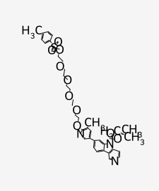 Cc1ccc(S(=O)(=O)OCCOCCOCCOCCOCCOc2ncc(-c3ccc4c5cnccc5n(C(=O)OC(C)(C)C)c4c3)cc2C)cc1